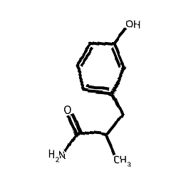 CC(Cc1cccc(O)c1)C(N)=O